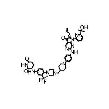 C=CCn1c(=O)c2cnc(Nc3ccc(N4CCC(CN5CCN(c6ccc(NC7CCC(=O)NC7=O)cc6C(F)(F)F)CC5)CC4)cc3)nc2n1-c1cccc(C(C)(C)O)n1